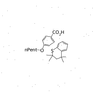 CC1(C)CC(C)(C)c2ccccc2S1.CCCCCOc1ccc(C(=O)O)cc1